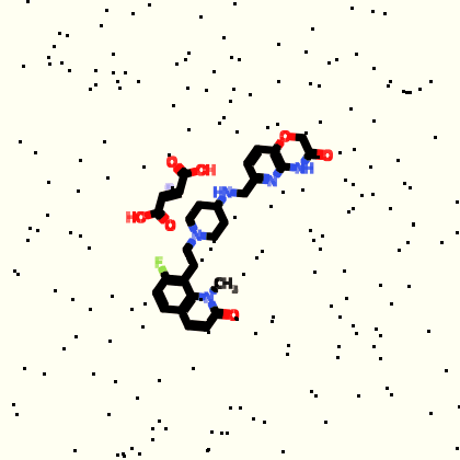 Cn1c(=O)ccc2ccc(F)c(CCN3CCC(NCc4ccc5c(n4)NC(=O)CO5)CC3)c21.O=C(O)/C=C/C(=O)O